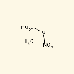 O.O=C(O)O[N+](=O)[O-]